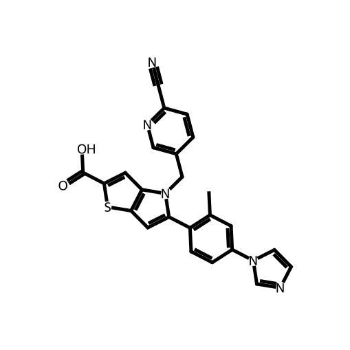 Cc1cc(-n2ccnc2)ccc1-c1cc2sc(C(=O)O)cc2n1Cc1ccc(C#N)nc1